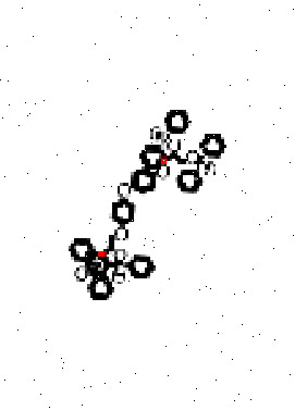 O=P(OCC(COc1ccc(Oc2ccc(OCC(COP(=O)(c3ccccc3)c3ccccc3)OP(=O)(c3ccccc3)c3ccccc3)cc2)cc1)OP(=O)(c1ccccc1)c1ccccc1)(c1ccccc1)c1ccccc1